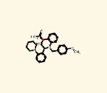 CCCC(c1ccccc1N1CCCCC1)N(Cc1ccc(OC)cc1)c1ccccc1[C@H](O)C(=O)O